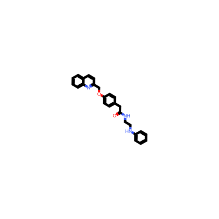 O=C(Cc1ccc(OCc2ccc3ccccc3n2)cc1)NCCNc1ccccc1